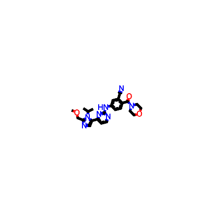 COCc1ncc(-c2ccnc(Nc3ccc(C(=O)N4CCOCC4)c(C#N)c3)n2)n1C(C)C